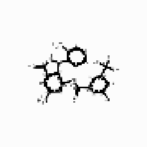 Cc1ccccc1C1NC(=O)c2cc(N)cc(NC(=O)c3cc(F)cc(C(F)(F)F)c3)c21